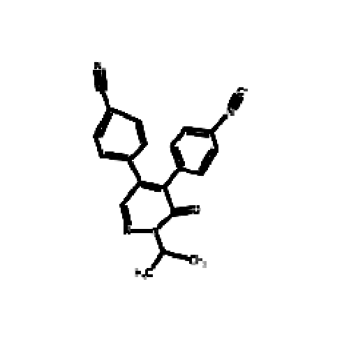 [C-]#[N+]c1ccc(-c2c(-c3ccc(C#N)cc3)cnn(C(C)C)c2=O)cc1